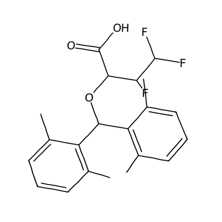 Cc1cccc(C)c1C(OC(C(=O)O)C(F)C(F)F)c1c(C)cccc1C